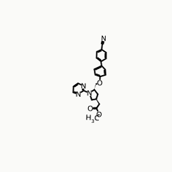 COC(=O)C[C@@H]1C[C@@H](COc2ccc(-c3ccc(C#N)cc3)cc2)N(c2ncccn2)C1